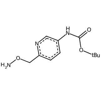 CC(C)(C)OC(=O)Nc1ccc(CON)nc1